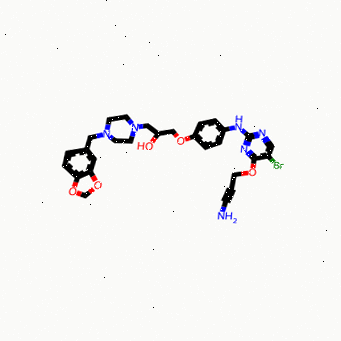 NC#CCOc1nc(Nc2ccc(OCC(O)CN3CCN(Cc4ccc5c(c4)OCO5)CC3)cc2)ncc1Br